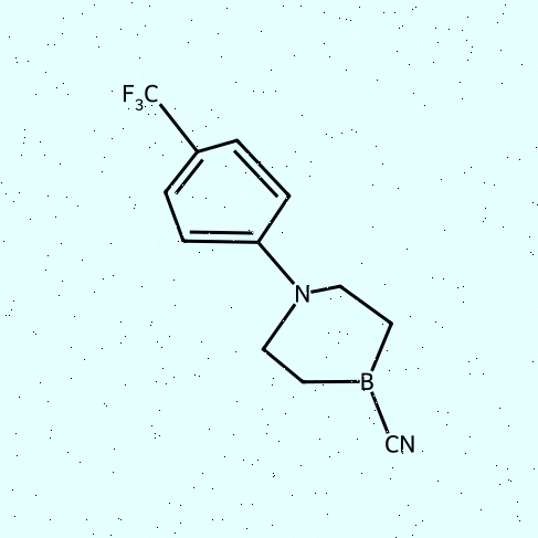 N#CB1CCN(c2ccc(C(F)(F)F)cc2)CC1